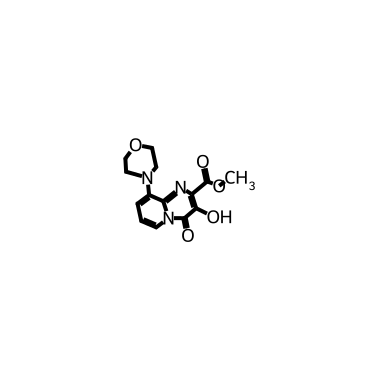 COC(=O)c1nc2c(N3CCOCC3)cccn2c(=O)c1O